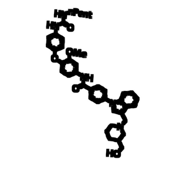 CCCCCNC(=O)Nc1ccc(Oc2ccc(NC(=O)c3ccc(-n4cc(CN5CCCC(CO)C5)c5ccccc54)cc3)cc2OC)cc1